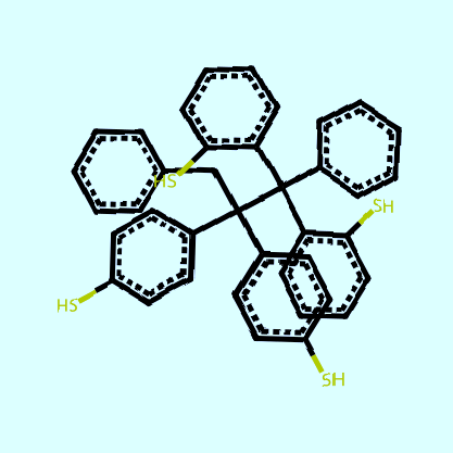 Sc1ccc(C(Cc2ccccc2)(c2ccc(S)cc2)C(c2ccccc2)(c2ccccc2S)c2ccccc2S)cc1